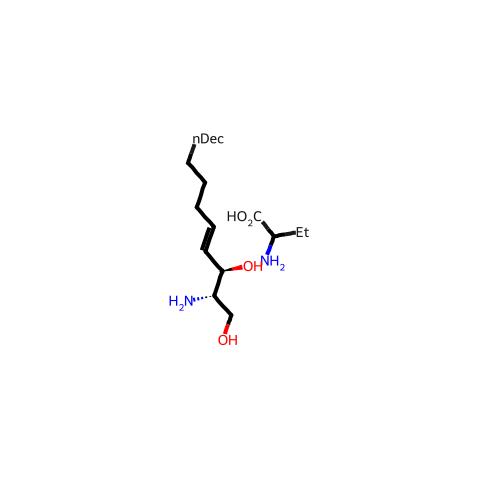 CCC(N)C(=O)O.CCCCCCCCCCCCC/C=C/[C@@H](O)[C@@H](N)CO